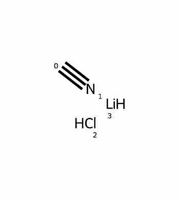 C#N.Cl.[LiH]